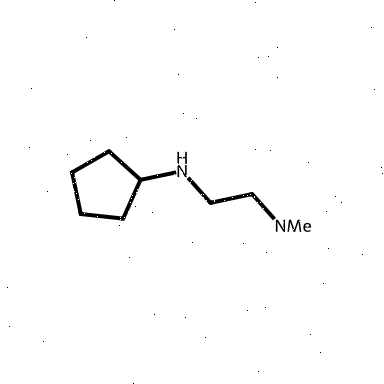 [CH2-][NH2+]CCNC1CCCC1